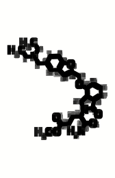 CCN(CC)Cc1ccc2oc(COc3cccc4c3CN(C(CCC(=O)OC)C(N)=O)C4=O)cc2c1